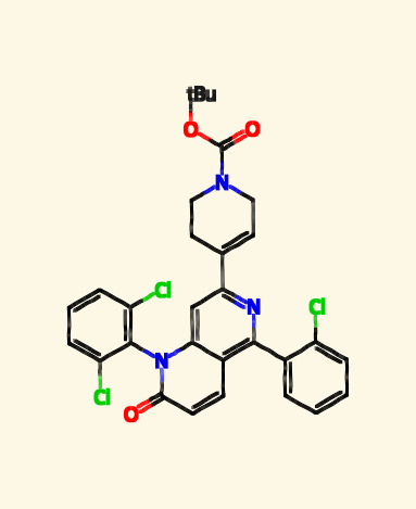 CC(C)(C)OC(=O)N1CC=C(c2cc3c(ccc(=O)n3-c3c(Cl)cccc3Cl)c(-c3ccccc3Cl)n2)CC1